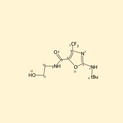 CC(C)(C)Nc1nc(C(F)(F)F)c(C(=O)NCCO)o1